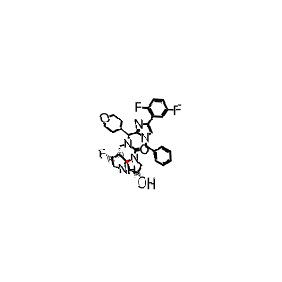 O=C(N1C[CH][C@@H](O)C1)N(C[C@@H]1CNC[C@@H]1F)C(c1nc(-c2cc(F)ccc2F)cn1Cc1ccccc1)C1CCOCC1